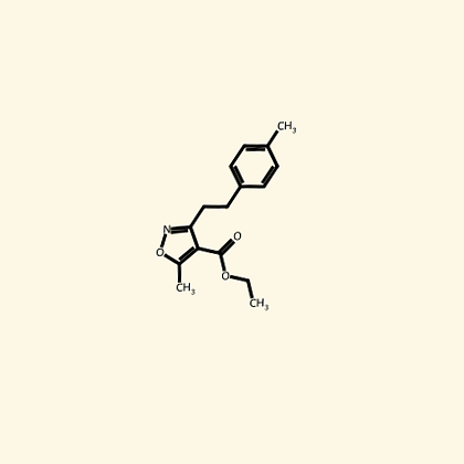 CCOC(=O)c1c(CCc2ccc(C)cc2)noc1C